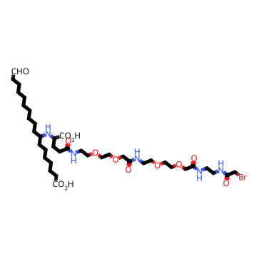 O=CCCCCCCCCCC(CCCCCCC(=O)O)NC(CCC(=O)NCCOCCOCC(=O)NCCOCCOCC(=O)NCCNC(=O)CBr)C(=O)O